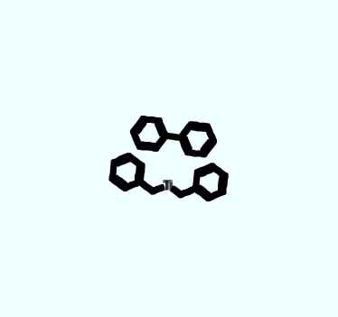 c1ccc(-c2ccccc2)cc1.c1ccc([CH2][Ti][CH2]c2ccccc2)cc1